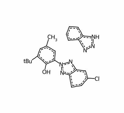 Cc1cc(-n2nc3ccc(Cl)cc3n2)c(O)c(C(C)(C)C)c1.c1ccc2[nH]nnc2c1